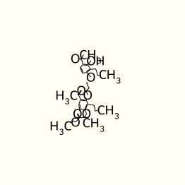 CCCc1c(OCCCOc2c(C(C)=O)ccc(OC(C)C(=O)OCC)c2CCC)ccc(C(C)=O)c1O